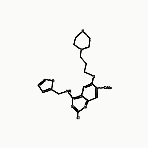 COc1cc2nc(Cl)nc(NCc3ccco3)c2cc1OCCCN1CCOCC1